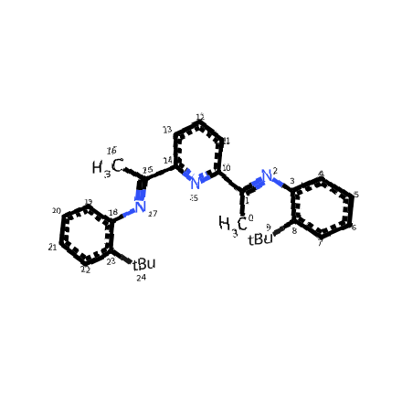 CC(=Nc1ccccc1C(C)(C)C)c1cccc(C(C)=Nc2ccccc2C(C)(C)C)n1